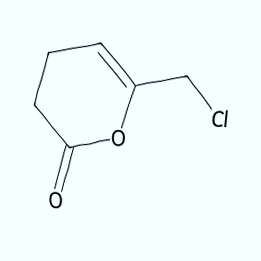 O=C1CCC=C(CCl)O1